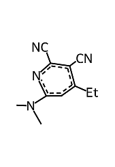 CCc1cc(N(C)C)nc(C#N)c1C#N